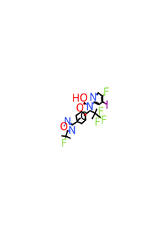 CC(C)(F)c1nc(C23CCC(C(N(C(=O)O)c4cc(I)c(F)cn4)C(C)(C)C(F)(F)F)(CC2)CC3)no1